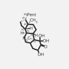 CCC[C@@H](C)[C@H]1CC[C@H]2[C@@H]3CCC4C[C](O)C(=O)C(O)(O)[C@]4(C)[C@H]3CC[C@]12C